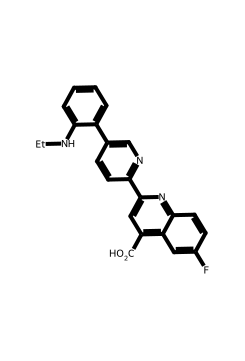 CCNc1ccccc1-c1ccc(-c2cc(C(=O)O)c3cc(F)ccc3n2)nc1